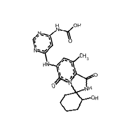 Cc1cc(Nc2cc(NC(=O)O)ncn2)c(=O)n2c1C(=O)NC21CCCCC1O